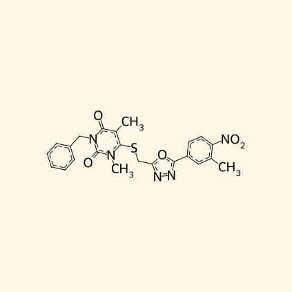 Cc1cc(-c2nnc(CSc3c(C)c(=O)n(Cc4ccccc4)c(=O)n3C)o2)ccc1[N+](=O)[O-]